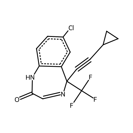 O=C1C=NC(C#CC2CC2)(C(F)(F)F)c2cc(Cl)ccc2N1